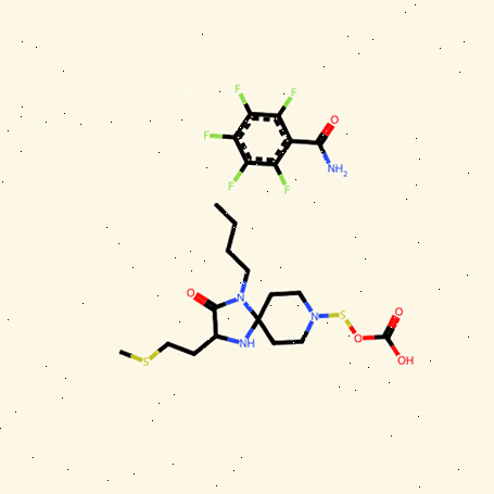 CCCCN1C(=O)C(CCSC)NC12CCN(SOC(=O)O)CC2.NC(=O)c1c(F)c(F)c(F)c(F)c1F